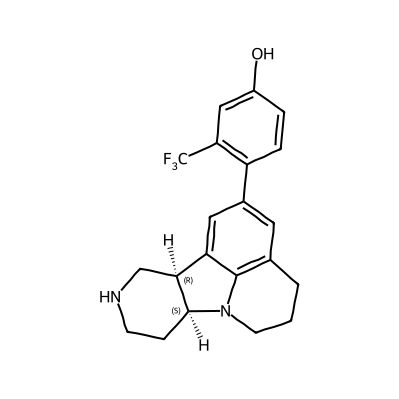 Oc1ccc(-c2cc3c4c(c2)[C@@H]2CNCC[C@@H]2N4CCC3)c(C(F)(F)F)c1